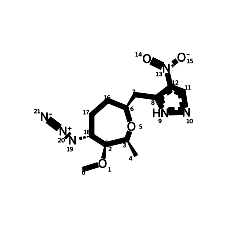 CO[C@@H]1[C@H](C)O[C@H](Cc2[nH]ncc2[N+](=O)[O-])CC[C@H]1N=[N+]=[N-]